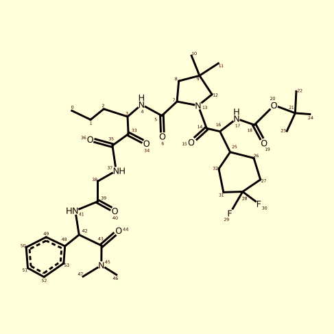 CCCC(NC(=O)C1CC(C)(C)CN1C(=O)C(NC(=O)OC(C)(C)C)C1CCC(F)(F)CC1)C(=O)C(=O)NCC(=O)NC(C(=O)N(C)C)c1ccccc1